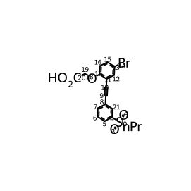 CCCS(=O)(=O)c1cccc(C#Cc2cc(Br)ccc2OCC(=O)O)c1